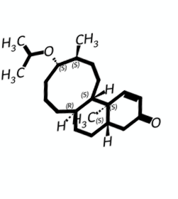 CC(C)O[C@H]1CCC[C@@H]2CC[C@H]3CC(=O)C=C[C@]3(C)[C@H]2CC[C@@H]1C